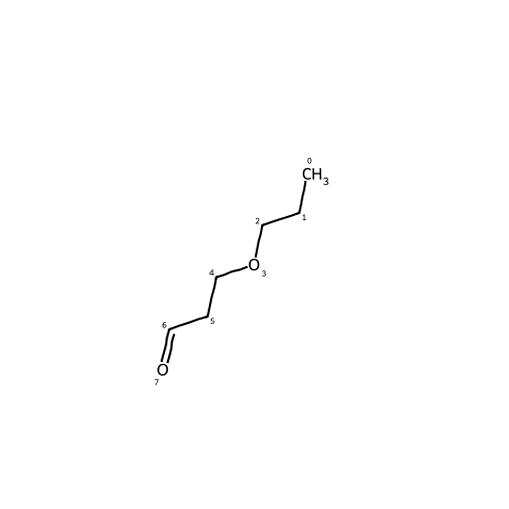 CCCOCCC=O